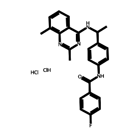 Cc1nc(NC(C)c2ccc(NC(=O)c3ccc(F)cc3)cc2)c2cccc(C)c2n1.Cl.Cl